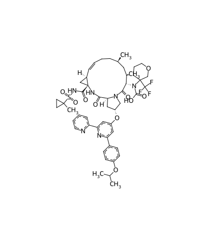 CC(C)Oc1ccc(-c2cc(O[C@@H]3C[C@H]4C(=O)N[C@]5(C(=O)NS(=O)(=O)C6(C)CC6)C[C@H]5C=CCC[C@@H](C)C[C@@H](C)[C@H](N(C(=O)O)C5(C(F)(F)F)CCCOC5)C(=O)N4C3)cc(-c3ccccn3)n2)cc1